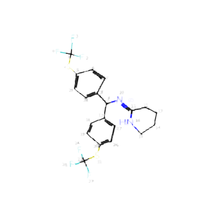 FC(F)(F)Sc1ccc(C(/N=C2/CCCCN2)c2ccc(SC(F)(F)F)cc2)cc1